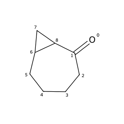 O=C1CCCCC2CC12